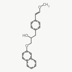 COC=Cc1ccc(CC(O)COc2ccc3ccccc3c2)cc1